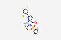 Cc1ncccc1S(=O)(=O)NC(=O)c1ccc(-c2cc(F)ccc2F)nc1N1C[C@@H](C)CC1(C)C